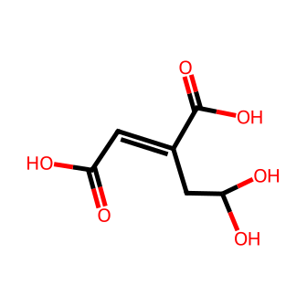 O=C(O)/C=C(\CC(O)O)C(=O)O